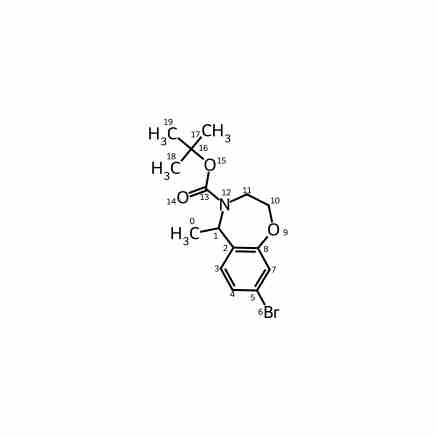 CC1c2ccc(Br)cc2OCCN1C(=O)OC(C)(C)C